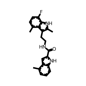 Cc1[nH]c2c(F)ccc(C)c2c1CCNC(=O)c1cc2c(C)cccc2[nH]1